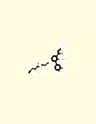 C#CCC(N)C(=O)NCCCOc1ccc(-c2cc(C(F)(F)F)nn2C)c(O)c1-c1ccc(Cl)c(C(F)(F)F)c1